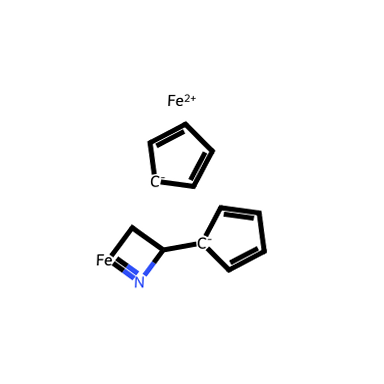 [Fe+2].c1cc[c-](C2[CH2][Fe]=[N]2)c1.c1cc[cH-]c1